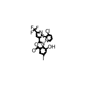 O=c1oc(-c2cc(C(F)(F)F)nn2-c2ncccc2Cl)nc2c(O)cc(I)cc12